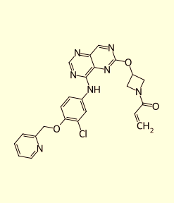 C=CC(=O)N1CC(Oc2ncc3ncnc(Nc4ccc(OCc5ccccn5)c(Cl)c4)c3n2)C1